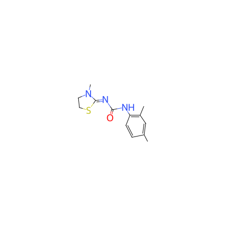 Cc1ccc(NC(=O)N=C2SCCN2C)c(C)c1